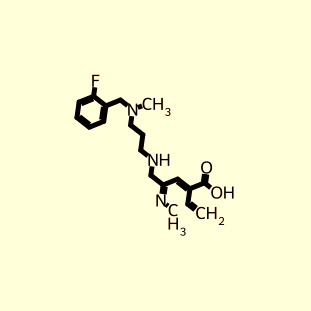 C=C/C(=C\C(CNCCCN(C)Cc1ccccc1F)=N/C)C(=O)O